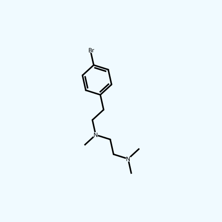 CN(C)CCN(C)CCc1ccc(Br)cc1